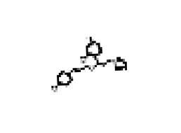 Clc1ccc(C=CCOC(CCn2ccnc2)c2ccc(Cl)cc2Cl)cc1